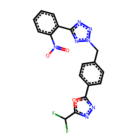 O=[N+]([O-])c1ccccc1-c1nnn(Cc2ccc(-c3nnc(C(F)F)o3)cc2)n1